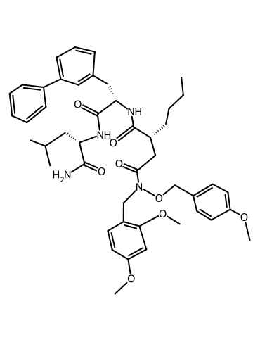 CCCC[C@H](CC(=O)N(Cc1ccc(OC)cc1OC)OCc1ccc(OC)cc1)C(=O)N[C@@H](Cc1cccc(-c2ccccc2)c1)C(=O)N[C@@H](CC(C)C)C(N)=O